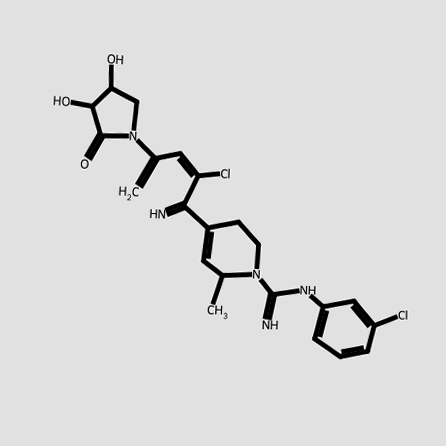 C=C(/C=C(/Cl)C(=N)C1=CC(C)N(C(=N)Nc2cccc(Cl)c2)CC1)N1CC(O)C(O)C1=O